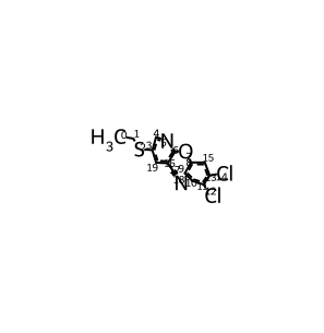 CCSc1cnc(Oc2ccc(Cl)c(Cl)c2)c(C#N)c1